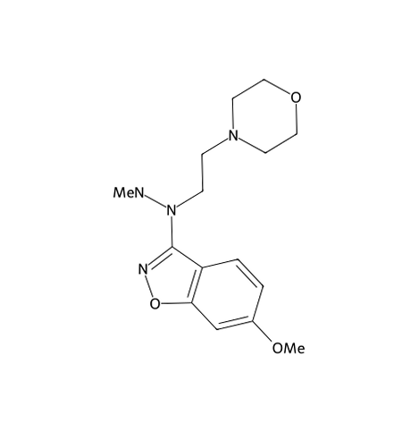 CNN(CCN1CCOCC1)c1noc2cc(OC)ccc12